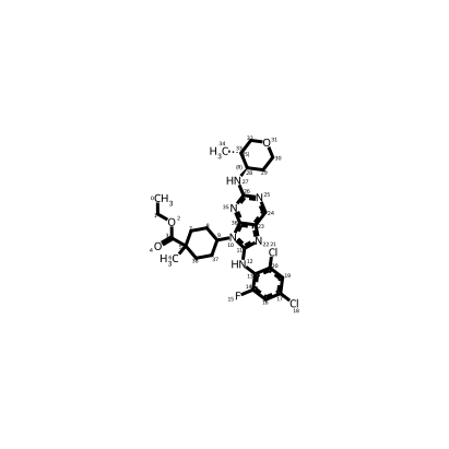 CCOC(=O)C1(C)CCC(n2c(Nc3c(F)cc(Cl)cc3Cl)nc3cnc(N[C@@H]4CCOC[C@H]4C)nc32)CC1